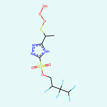 CC(SOOO)c1nnc(S(=O)(=O)OCC(F)C(F)(F)C(F)F)[nH]1